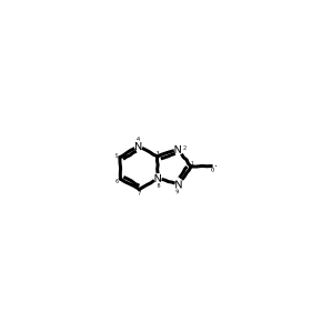 [CH2]c1nc2ncccn2n1